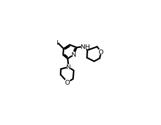 Ic1cc(N[C@@H]2CCCOC2)nc(N2CCOCC2)c1